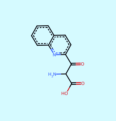 NC(C(=O)O)C(=O)c1ccc2ccccc2n1